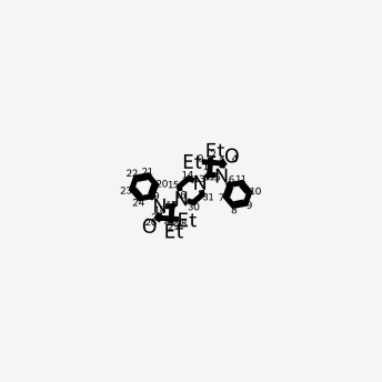 CCC1(CC)C(=O)N(c2ccccc2)C1N1CCN(C2N(c3ccccc3)C(=O)C2(CC)CC)CC1